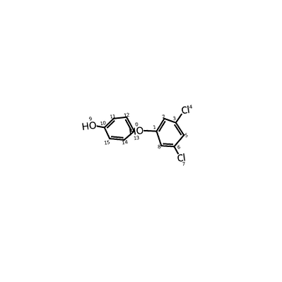 Oc1cc(Cl)cc(Cl)c1.Oc1ccccc1